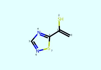 C=C(S)c1ncns1